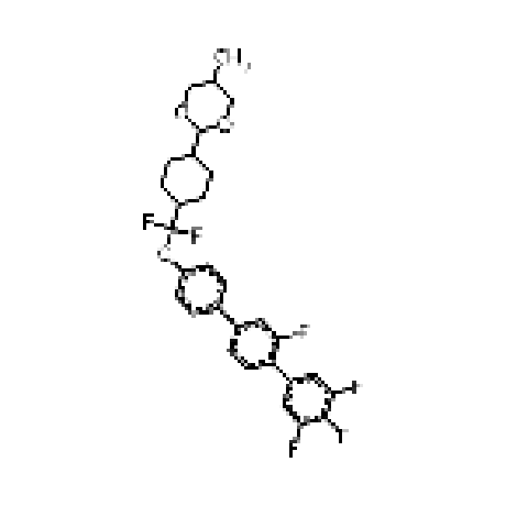 CC1COC(C2CCC(C(F)(F)Oc3ccc(-c4ccc(-c5cc(F)c(F)c(F)c5)c(F)c4)cc3)CC2)OC1